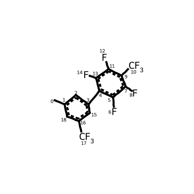 Cc1cc(-c2c(F)c(F)c(C(F)(F)F)c(F)c2F)cc(C(F)(F)F)c1